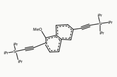 COc1c(C#C[Si](C(C)C)(C(C)C)C(C)C)ccc2cc(C#C[Si](C(C)C)(C(C)C)C(C)C)ccc12